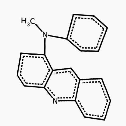 CN(c1ccccc1)c1cccc2nc3ccccc3cc12